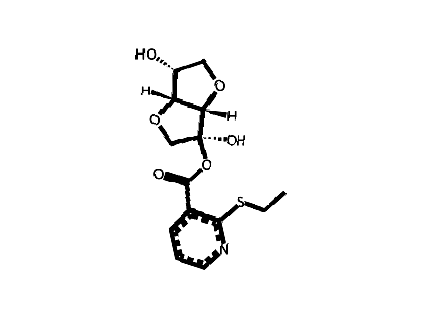 CCSc1ncccc1C(=O)O[C@@]1(O)CO[C@@H]2[C@H](O)CO[C@@H]21